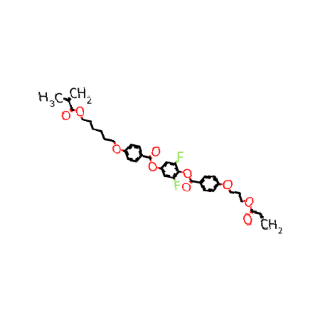 C=CC(=O)OCCCOc1ccc(C(=O)Oc2c(F)cc(OC(=O)c3ccc(OCCCCCCOC(=O)C(=C)C)cc3)cc2F)cc1